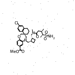 COC(=O)c1ccc2c(c1)N(C[C@@H]1CC[C@H]1CN(C)C(=O)C[C@@H](C)[C@H](C)S(N)(=O)=O)C[C@@]1(CCCc3cc(Cl)ccc31)CO2